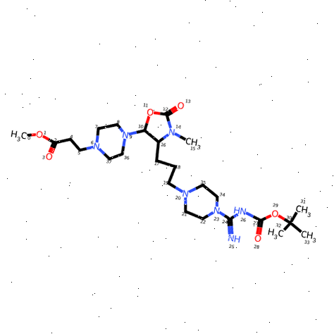 COC(=O)CCN1CCN(C2OC(=O)N(C)C2CCCN2CCN(C(=N)NC(=O)OC(C)(C)C)CC2)CC1